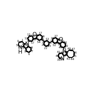 C1=Cc2c(c3ccccc3n2-c2ccc3oc4ccc(-c5cccc(-c6ccc7oc8ccc(-n9c%10c(c%11ncccc%119)CC/C=C\C=C/%10)cc8c7c6)c5)cc4c3c2)NC1